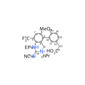 CCCN(Cc1cc(C(F)(F)F)ccc1-c1cc(CC(=O)O)ccc1OC)C(=NC#N)NCC